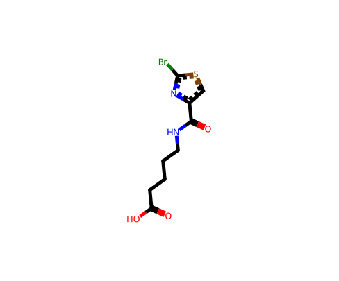 O=C(O)CCCCNC(=O)c1csc(Br)n1